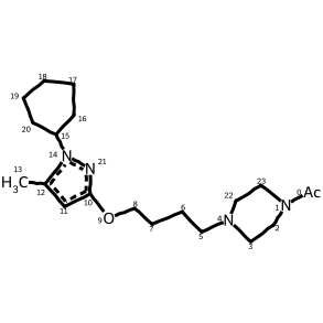 CC(=O)N1CCN(CCCCOc2cc(C)n(C3CCCCC3)n2)CC1